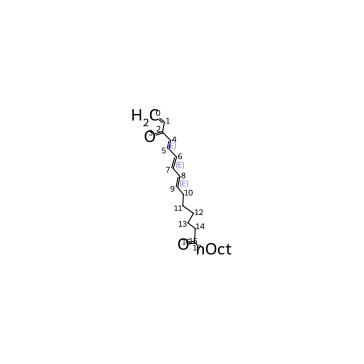 C=CC(=O)/C=C/C=C/C=C/CCCCCC(=O)CCCCCCCC